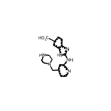 O=C(O)c1ccc2nc(Nc3cc(CN4CCNCC4)ccn3)[nH]c2c1